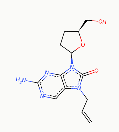 C=CCn1c(=O)n([C@H]2CC[C@@H](CO)O2)c2nc(N)ncc21